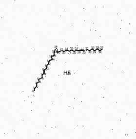 CCCCCCCCC=CCCCCCCCCN(C)CCCCCCCCC=CCCCCCCCC.F